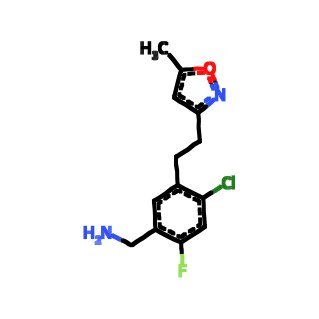 Cc1cc(CCc2cc(CN)c(F)cc2Cl)no1